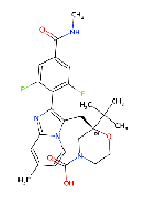 CNC(=O)c1cc(F)c(-c2nc3cc(C)ccn3c2C[C@]2(C(C)(C)C)CN(C(=O)O)CCO2)c(F)c1